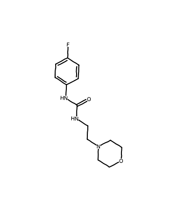 O=C(NCCN1CCOCC1)Nc1ccc(F)cc1